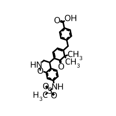 CC1(C)C(=O)C(C2CNOc3cc(NS(C)(=O)=O)ccc32)=CC=C1Cc1ccc(C(=O)O)cc1